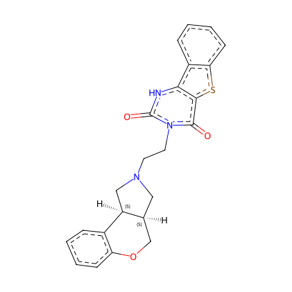 O=c1[nH]c2c(sc3ccccc32)c(=O)n1CCN1C[C@H]2COc3ccccc3[C@H]2C1